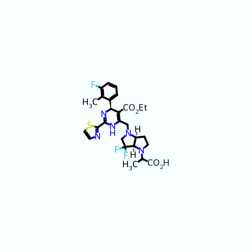 CCOC(=O)C1=C(CN2CC(F)(F)[C@H]3[C@@H]2CCN3C(C)C(=O)O)NC(c2nccs2)=N[C@H]1c1cccc(F)c1C